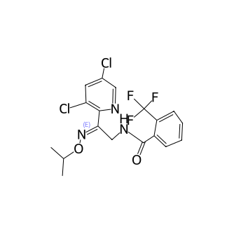 CC(C)O/N=C(\CNC(=O)c1ccccc1C(F)(F)F)c1ncc(Cl)cc1Cl